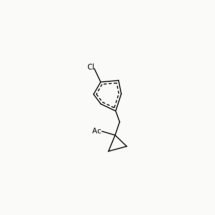 CC(=O)C1(Cc2ccc(Cl)cc2)CC1